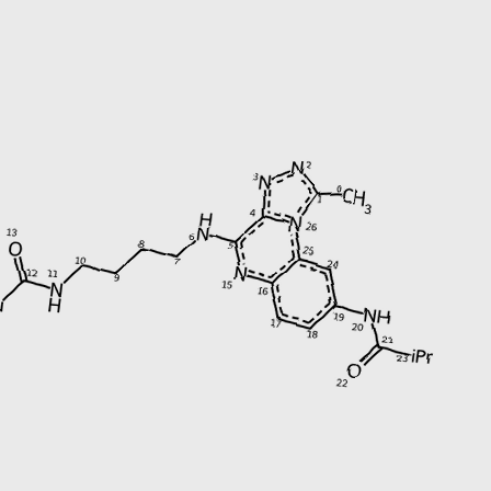 Cc1nnc2c(NCCCCNC(=O)C(C)(C)C)nc3ccc(NC(=O)C(C)C)cc3n12